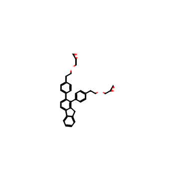 c1ccc2c(c1)Cc1c-2ccc(-c2ccc(CCOCC3CO3)cc2)c1-c1ccc(CCOCC2CO2)cc1